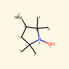 CCCCC1CC(C)(C)N(O)C1(C)C